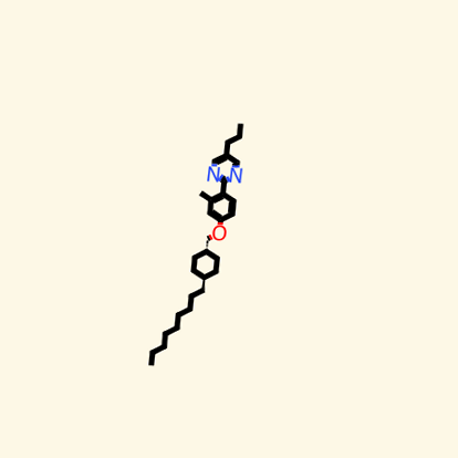 CCCCCCCCC[C@H]1CC[C@H](COc2ccc(-c3ncc(CCC)cn3)c(C)c2)CC1